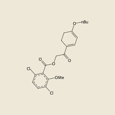 CCCCOC1=CC=C(C(=O)COC(=O)c2c(Cl)ccc(Cl)c2OC)CC1